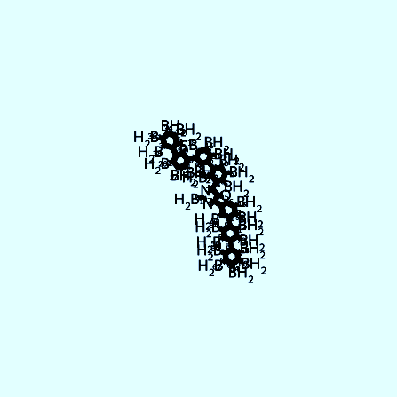 Bc1nc(-c2c(B)c(B)c(B)c(-c3c(B)c(B)c(B)c(-c4c(B)c(B)c(B)c5c4sc4c(B)c(B)c(B)c(B)c45)c3B)c2B)c2oc3c(B)c(B)c(-c4c(B)c(B)c(-c5c(B)c(B)c(B)c(B)c5B)c(B)c4B)c(B)c3c2n1